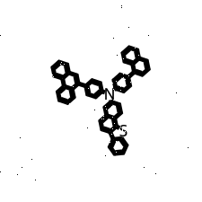 c1ccc2c(-c3ccc(N(c4ccc(-c5cc6ccccc6c6ccccc56)cc4)c4ccc5c(ccc6c7ccccc7sc56)c4)cc3)cccc2c1